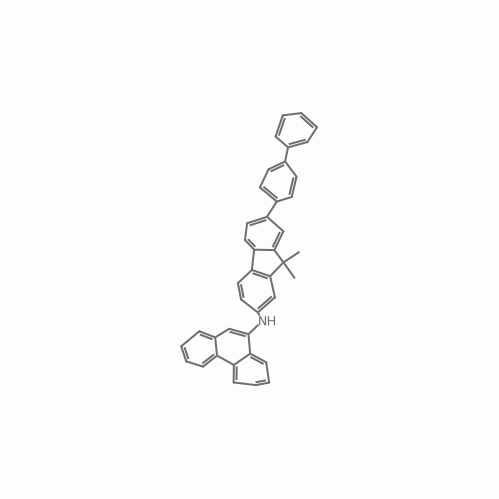 CC1(C)c2cc(Nc3cc4ccccc4c4ccccc34)ccc2-c2ccc(-c3ccc(-c4ccccc4)cc3)cc21